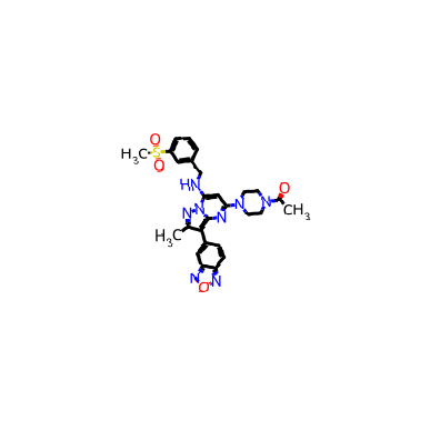 CC(=O)N1CCN(c2cc(NCc3cccc(S(C)(=O)=O)c3)n3nc(C)c(-c4ccc5nonc5c4)c3n2)CC1